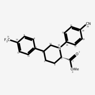 COC(=O)[C@@H]1CCC(c2ccc(C(F)(F)F)cc2)CN1c1ccc(C#N)cc1